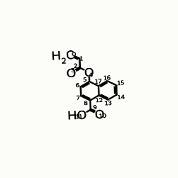 C=CC(=O)Oc1ccc(C(=O)O)c2ccccc12